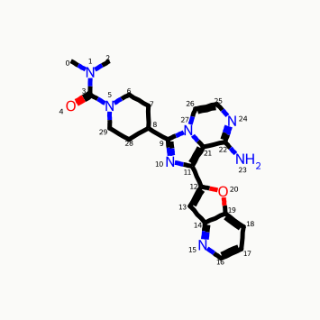 CN(C)C(=O)N1CCC(c2nc(-c3cc4ncccc4o3)c3c(N)nccn23)CC1